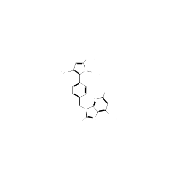 CCc1nc2c(C)cc(C)nc2n1Cc1ccc(-c2c(C#N)cc(C)n2C)cc1